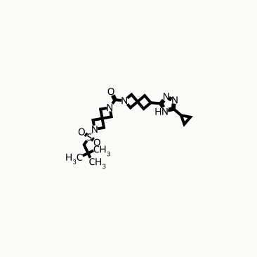 CC(C)(C)CS(=O)(=O)N1CC2(CN(C(=O)N3CC4(CC(c5nnc(C6CC6)[nH]5)C4)C3)C2)C1